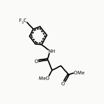 COC(=O)CC(OC)C(=O)Nc1ccc(C(F)(F)F)cc1